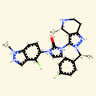 C[C@@H]1NCCc2nn([C@H](C)c3ccc(F)cc3)c(-n3ccn(-c4ccc5c(cnn5C)c4F)c3=O)c21